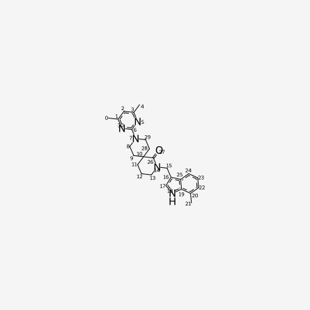 Cc1cc(C)nc(N2CCC3(CCCN(Cc4c[nH]c5c(C)cccc45)C3=O)CC2)n1